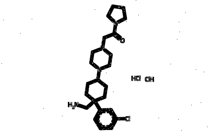 Cl.Cl.NCC1(c2cccc(Cl)c2)CCC(N2CCN(CC(=O)N3CCCC3)CC2)CC1